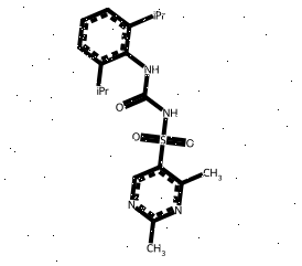 Cc1ncc(S(=O)(=O)NC(=O)Nc2c(C(C)C)cccc2C(C)C)c(C)n1